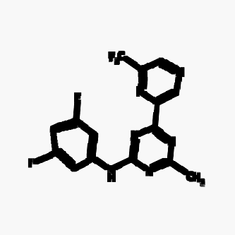 Cc1nc(Nc2cc(F)cc(F)c2)nc(-c2cncc(C(F)(F)F)n2)n1